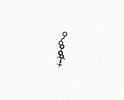 Fc1cc2cc(-c3ccc4c(c3)CCC(CCC3CCCCC3)C4)ccc2c(F)c1C#CC(F)(F)F